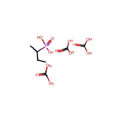 CCC(C)P(=O)(O)O.O=C(O)O.O=C(O)O.O=C(O)O